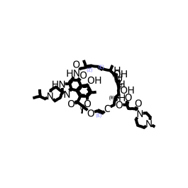 C/C1=C/C=C/C(C)[C@H](O)[C@@H](C)[C@@H](O)C[C@H](OC(=O)CC(=O)N2CCCN(C)CC2)CC/C=C/O[C@@]2(C)Oc3c(C)c(O)c4c(c3C2=O)C2=NC3(CCN(CC(C)C)CC3)NC2=C(NC1=O)C4=O